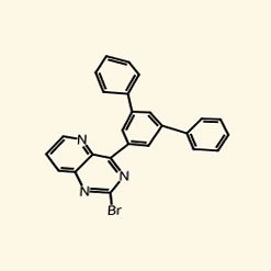 Brc1nc(-c2cc(-c3ccccc3)cc(-c3ccccc3)c2)c2ncccc2n1